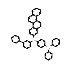 c1ccc(-c2cccc(N(c3ccc(N(c4ccccc4)c4ccccc4)cc3)c3ccc4c(ccc5c6ccccc6ccc45)c3)c2)cc1